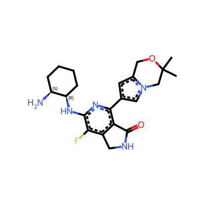 CC1(C)Cn2cc(-c3nc(N[C@@H]4CCCC[C@@H]4N)c(F)c4c3C(=O)NC4)cc2CO1